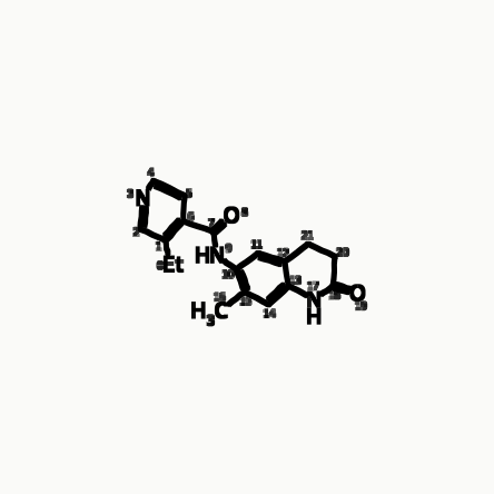 CCc1cnccc1C(=O)Nc1cc2c(cc1C)NC(=O)CC2